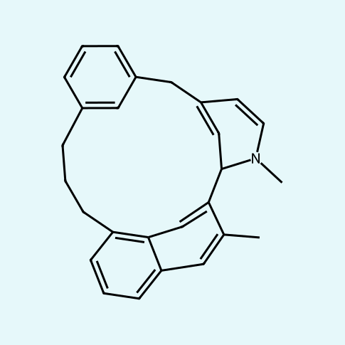 Cc1cc2cccc3c2cc1C1C=C(C=CN1C)Cc1cccc(c1)CCC3